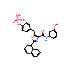 COc1cccc(NC(=O)c2nc(-c3cccc4ccccc34)sc2Cc2ccc(OP(=O)(O)O)cc2)c1